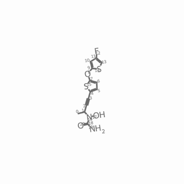 CC(C#Cc1ccc(Oc2cc(F)cs2)s1)N(O)C(N)=O